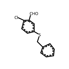 O=Cc1cc(SCc2ccccc2)ccc1Cl